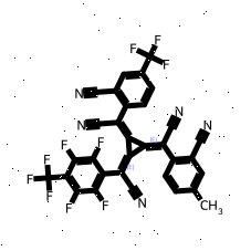 Cc1ccc(/C(C#N)=C2/C(=C(C#N)c3ccc(C(F)(F)F)cc3C#N)/C2=C(/C#N)c2c(F)c(F)c(C(F)(F)F)c(F)c2F)c(C#N)c1